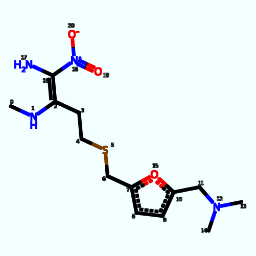 CNC(CCSCc1ccc(CN(C)C)o1)=C(N)[N+](=O)[O-]